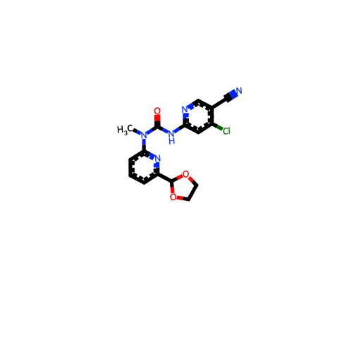 CN(C(=O)Nc1cc(Cl)c(C#N)cn1)c1cccc(C2OCCO2)n1